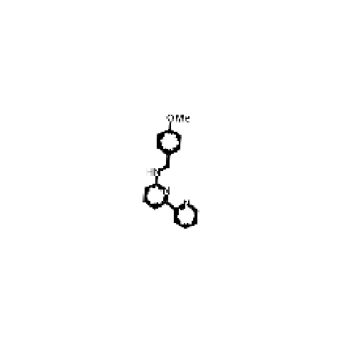 COc1ccc(CNc2cccc(-c3ccccn3)n2)cc1